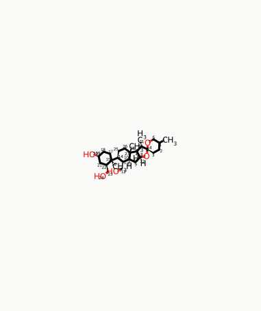 CC1CC[C@@]2(OC1)O[C@H]1C[C@H]3[C@H](CO)[C@@H]([C@@]4(C)CC[C@H](O)C[C@@H]4CO)CC[C@]3(C)[C@H]1[C@@H]2C